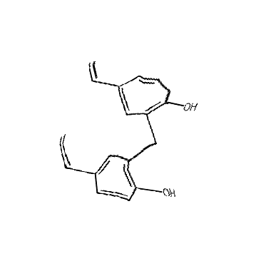 C=Cc1ccc(O)c(Cc2cc(C=C)ccc2O)c1